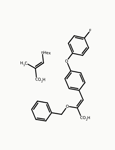 CCCCCCC=C(C)C(=O)O.O=C(O)C(=Cc1ccc(Oc2ccc(F)cc2)cc1)OCc1ccccc1